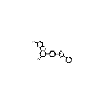 CC(C)c1ccc2oc3c(-c4ccc(-c5nnc(-c6ccccc6)o5)cc4)cc(C(C)C)cc3c2c1